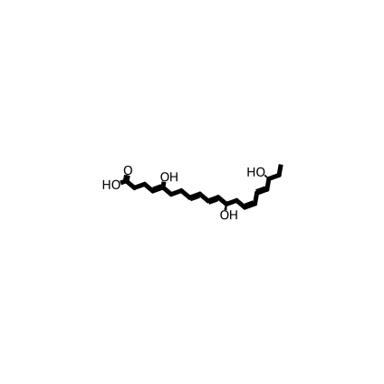 CC[C@@H](O)/C=C/C=C\C[C@@H](O)/C=C/C=C/CC/C(O)=C/CCC(=O)O